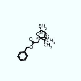 B[C@@H]1O[C@]2(CC(=O)OCc3ccccc3)C(C)C1O[C@H]2C